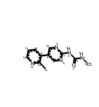 CCNC(=O)Nc1ncc(-c2cccnc2C)cn1